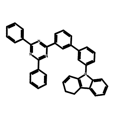 C1=Cc2c(c3ccccc3n2-c2cccc(-c3cccc(-c4nc(-c5ccccc5)nc(-c5ccccc5)n4)c3)c2)CC1